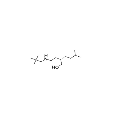 CC(C)CC[C@H](CO)CCNCC(C)(C)C